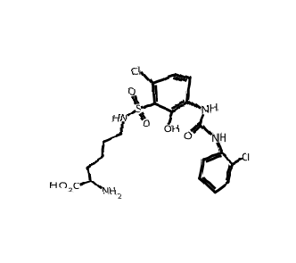 NC(CCCCNS(=O)(=O)c1c(Cl)ccc(NC(=O)Nc2ccccc2Cl)c1O)C(=O)O